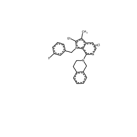 CCc1c(C)c2ccnc(N3CCc4ccccc4C3)c2n1Cc1cccc(F)c1.Cl